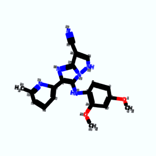 COc1ccc(Nc2c(-c3cccc(C)n3)nc3c(C#N)c[nH]n23)c(OC)c1